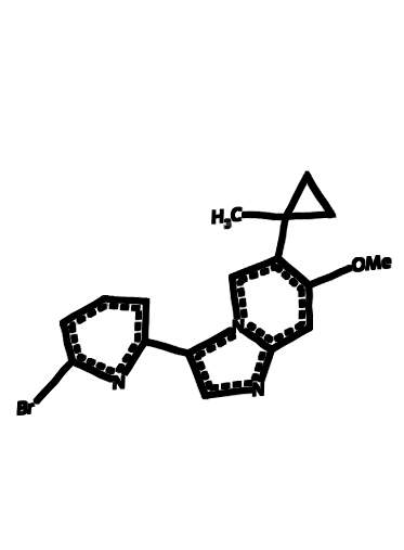 COc1cc2ncc(-c3cccc(Br)n3)n2cc1C1(C)CC1